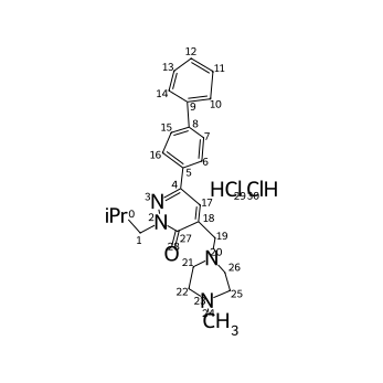 CC(C)Cn1nc(-c2ccc(-c3ccccc3)cc2)cc(CN2CCN(C)CC2)c1=O.Cl.Cl